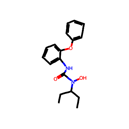 CCC(CC)N(O)C(=O)Nc1ccccc1Oc1ccccc1